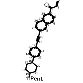 C=CC(=O)c1ccc2cc(C#Cc3ccc(C4CCC(CCCCC)CC4)cc3)ccc2c1